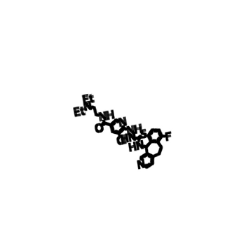 CCN(CC)CCNC(=O)c1cnc(NNC(=S)NC2c3cnccc3CCc3c(F)cccc32)c(Cl)c1